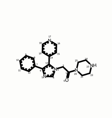 O=C(Cn1cnc(-c2ccccc2)c1-c1ccncc1)N1CCNCC1